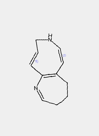 C1=NC2=C(/C=C\NC/C=C/2)CCC1